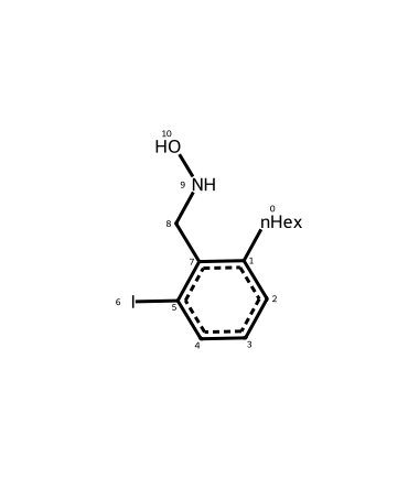 CCCCCCc1cccc(I)c1CNO